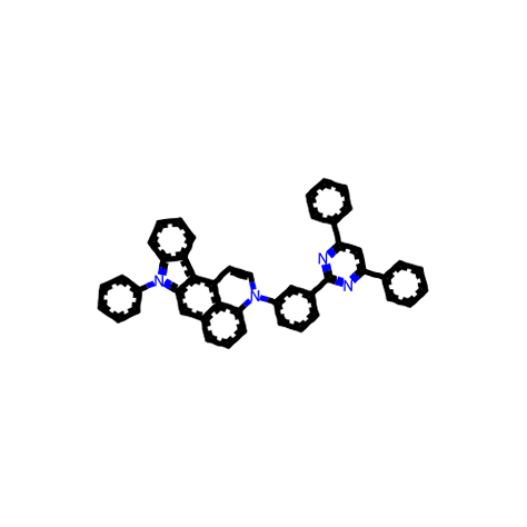 C1=CN(c2cccc(-c3nc(-c4ccccc4)cc(-c4ccccc4)n3)c2)c2cccc3cc4c(c1c23)c1ccccc1n4-c1ccccc1